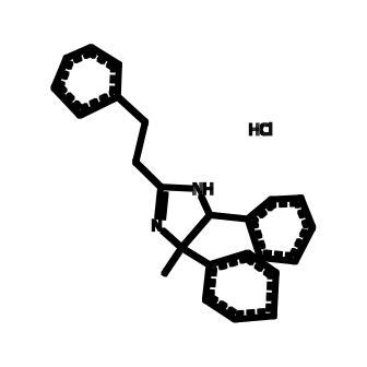 CC1(c2ccccc2)N=C(CCc2ccccc2)NC1c1ccccc1.Cl